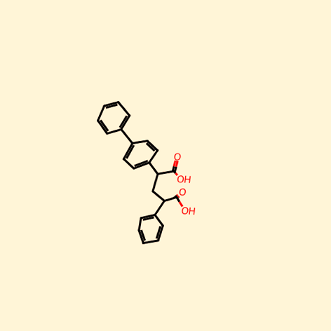 O=C(O)C(CC(C(=O)O)c1ccc(-c2ccccc2)cc1)c1ccccc1